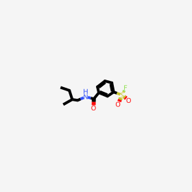 CCC(C)CNC(=O)c1cccc(S(=O)(=O)F)c1